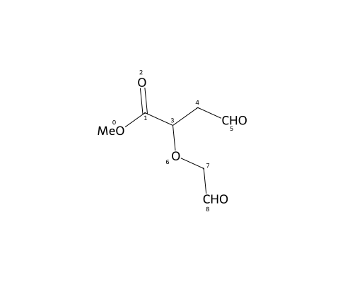 COC(=O)C(CC=O)OCC=O